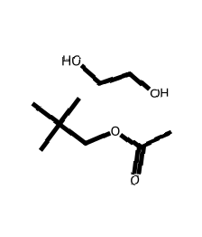 CC(=O)OCC(C)(C)C.OCCO